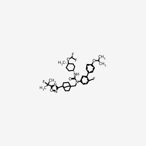 CC(C)Oc1ccc(-c2cc(N(CC34CCC(c5noc(C(C)(C)F)n5)(CC3)CC4)C(=O)N[C@H]3CC[C@](C)(OC(F)F)CC3)ccc2F)cc1